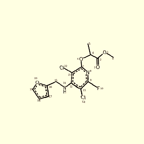 COC(=O)C(C)Oc1nc(F)c(Cl)c(NCc2ccco2)c1Cl